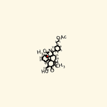 CC(=O)OCCc1cccc(-c2nc(C)nc3c2CC[C@H]2[C@H](C)C(=O)C(=CO)C[C@]32c2ccccc2)c1